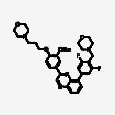 COc1cc(-c2cnc3cccc(-c4cc(F)c(CN5CCOCC5)c(F)c4)c3n2)ccc1OCCCN1CCOCC1